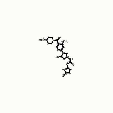 CNC1CCN(C(=O)c2ccc(N3CC(NC(=O)Oc4ccc(Br)s4)CC3=O)cc2C)CC1